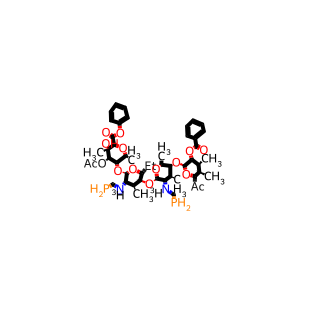 [3H]N(CP)C1[C@H](O[C@@H]2C(CC)O[C@@H](OC3[C@H](C)OC(C(=O)Oc4ccccc4)[C@@](C)(O)[C@@H]3OC(C)=O)C(N([3H])CP)[C@H]2C)OC(C)[C@@H](O[C@@H]2OC(C(C)=O)[C@H](C)[C@H](C)C2OC(=O)c2ccccc2)[C@@H]1C